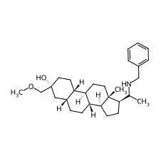 COC[C@@]1(O)CC[C@H]2[C@H](CC[C@@H]3[C@@H]2CC[C@]2(C)[C@@H](C(C)NCc4ccccc4)CC[C@@H]32)C1